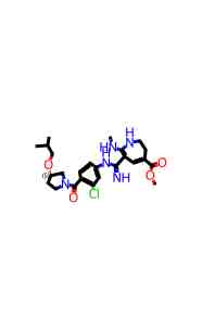 CNC1=C(C(=N)Nc2ccc(C(=O)N3CC[C@H](OCC(C)C)C3)c(Cl)c2)C=C(C(=O)OC)CCN1